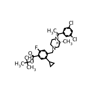 C[C@@H]1CN(Cc2cc(F)c(C(=O)OC(C)(C)C)cc2C2CC2)CCN1[C@@H](C)c1cc(Cl)cc(Cl)c1